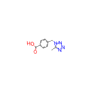 Cc1nnnn1Cc1ccc(C(=O)O)cc1